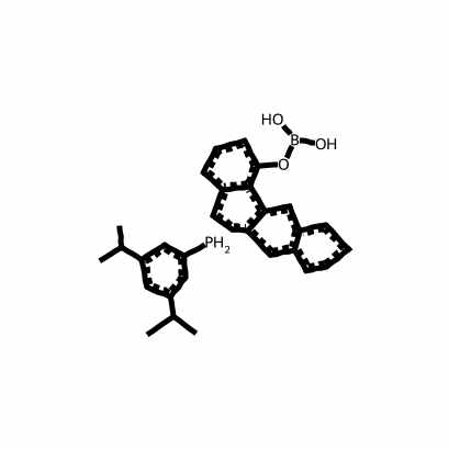 CC(C)c1cc(P)cc(C(C)C)c1.OB(O)Oc1cccc2ccc3cc4ccccc4cc3c12